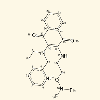 CCN(Cc1ccccn1)C1=C(NCCON(F)F)C(=O)c2ccccc2C1=O